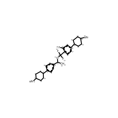 CCCC1CCC(c2ccc(C(C)OC(F)(F)c3ccc(C4CCC(CCC)CC4)cc3F)cc2)CC1